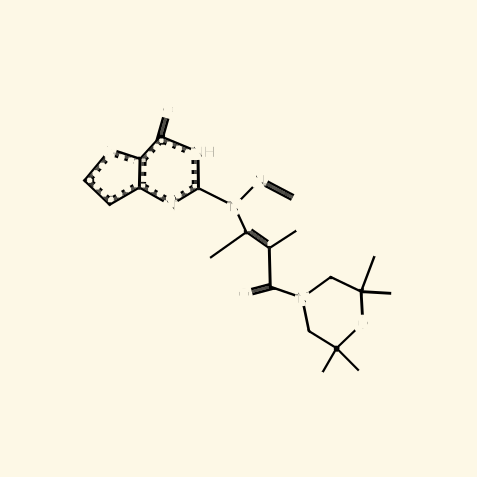 C=NN(/C(C)=C(\C)C(=O)N1CC(C)(C)OC(C)(C)C1)c1nc2ccsc2c(=O)[nH]1